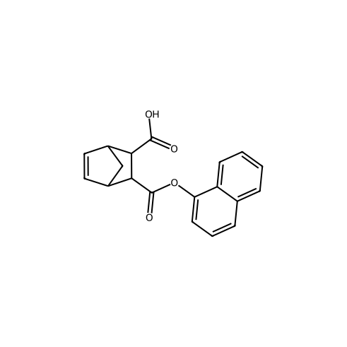 O=C(O)C1C2C=CC(C2)C1C(=O)Oc1cccc2ccccc12